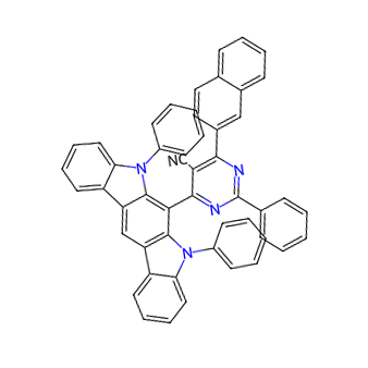 N#Cc1c(-c2ccc3ccccc3c2)nc(-c2ccccc2)nc1-c1c2c(cc3c4ccccc4n(-c4ccccc4)c13)c1ccccc1n2-c1ccccc1